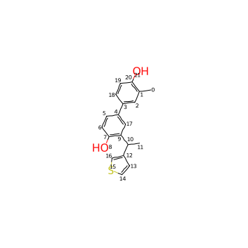 Cc1cc(-c2ccc(O)c(C(C)c3ccsc3)c2)ccc1O